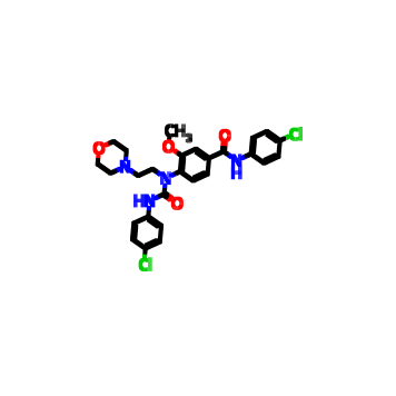 COc1cc(C(=O)Nc2ccc(Cl)cc2)ccc1N(CCN1CCOCC1)C(=O)Nc1ccc(Cl)cc1